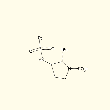 CCS(=O)(=O)NC1CCN(C(=O)O)C1C(C)(C)C